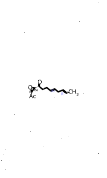 C/C=C/C/C=C/CCC(=O)[C@H]1O[C@H]1C(C)=O